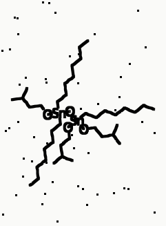 CCCCCCC[CH2][Sn]([CH2]CCCCCCC)([O]CCC(C)C)[O][Sn]([CH2]CCCCCCC)([O]CCC(C)C)[O]CCC(C)C